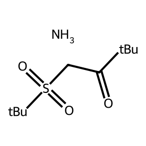 CC(C)(C)C(=O)CS(=O)(=O)C(C)(C)C.N